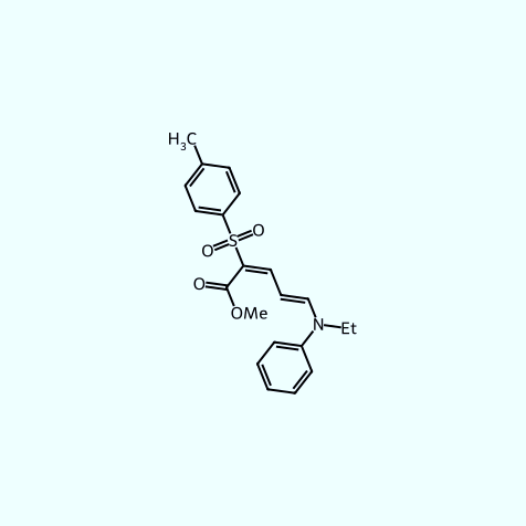 CCN(/C=C/C=C(\C(=O)OC)S(=O)(=O)c1ccc(C)cc1)c1ccccc1